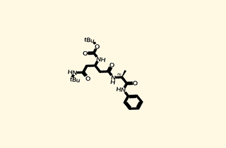 C[C@H](NC(=O)CC(CC(=O)NC(C)(C)C)NC(=O)OC(C)(C)C)C(=O)Nc1ccccc1